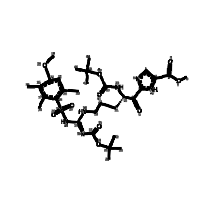 COC(=O)c1cnc(C(=O)[C@H](CCCN/C(=N\C(=O)OC(C)(C)C)NS(=O)(=O)c2c(C)cc(OC)c(C)c2C)NC(=O)OC(C)(C)C)[nH]1